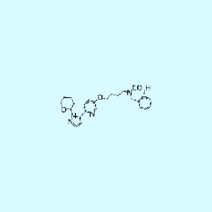 O=C(O)N(CCCCOc1ccc(-c2ccnn2C2CCCCO2)nc1)Cc1ccccc1